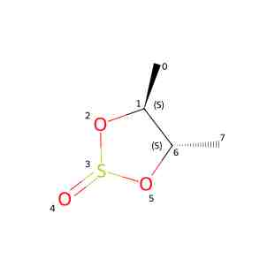 C[C@@H]1OS(=O)O[C@H]1C